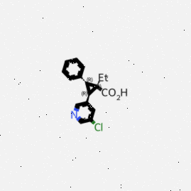 CC[C@@]1(C(=O)O)[C@@H](c2ccccc2)[C@@H]1c1cncc(Cl)c1